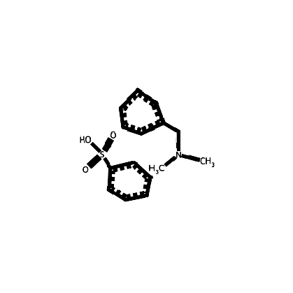 CN(C)Cc1ccccc1.O=S(=O)(O)c1ccccc1